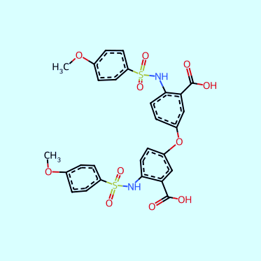 COc1ccc(S(=O)(=O)Nc2ccc(Oc3ccc(NS(=O)(=O)c4ccc(OC)cc4)c(C(=O)O)c3)cc2C(=O)O)cc1